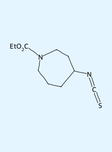 CCOC(=O)N1CCCC(N=C=S)CC1